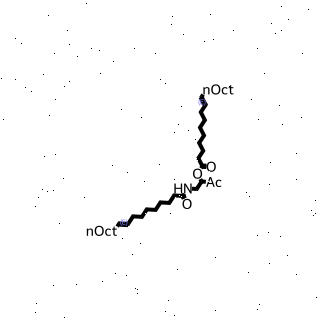 CCCCCCCC/C=C/CCCCCCCC(=O)NCC(OC(=O)CCCCCCC/C=C/CCCCCCCC)C(C)=O